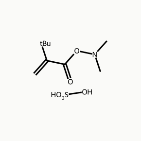 C=C(C(=O)ON(C)C)C(C)(C)C.O=S(=O)(O)O